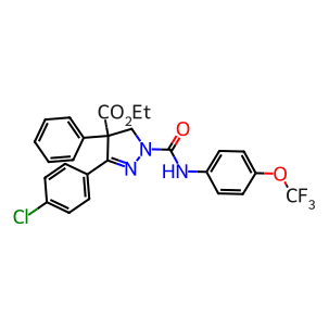 CCOC(=O)C1(c2ccccc2)CN(C(=O)Nc2ccc(OC(F)(F)F)cc2)N=C1c1ccc(Cl)cc1